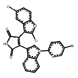 O=C1NC(=O)C(c2cn(-c3ccc(Br)cn3)c3ccccc23)=C1c1c(Cl)sc2ccc(Cl)cc12